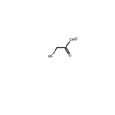 N#CCC(=O)[C]=O